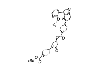 CC(C)(C)OC(=O)N1CCC(N2C[C@@H](OC(=O)N3CCN(c4ccn5ncc(-c6cccnc6OC6CC6)c5n4)CC3)CC2=O)CC1